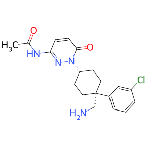 CC(=O)Nc1ccc(=O)n([C@H]2CC[C@](CN)(c3cccc(Cl)c3)CC2)n1